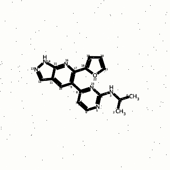 CC(C)Nc1nccc(-c2cc3cn[nH]c3nc2-c2ccco2)n1